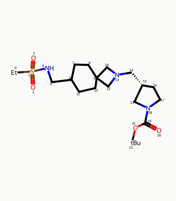 CCS(=O)(=O)NCC1CCC2(CC1)CN(C[C@@H]1CCN(C(=O)OC(C)(C)C)C1)C2